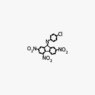 O=[N+]([O-])c1ccc2c(c1)C(=Nc1ccc(Cl)cc1)c1cc([N+](=O)[O-])cc([N+](=O)[O-])c1-2